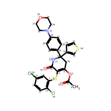 CC(=O)OC1=C(Sc2cc(Cl)ccc2Cl)C(=O)NC(c2ccc(N3CCOCC3)cc2)(c2ccsc2)C1